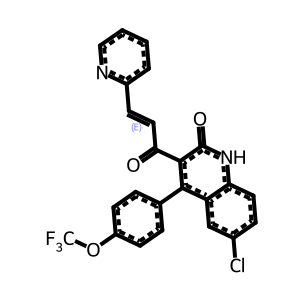 O=C(/C=C/c1ccccn1)c1c(-c2ccc(OC(F)(F)F)cc2)c2cc(Cl)ccc2[nH]c1=O